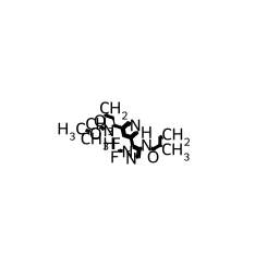 C=CC[C@H](NC(=O)OC(C)(C)C)c1cncc(-c2c(NC(=O)[C@H](C)C=C)cnn2C(F)F)c1